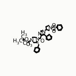 CC(C)(C)OC(=O)N1CCN(C(=O)c2ncn(C3CCN(S(=O)(=O)c4ccccc4)C3)c2-c2ccccc2)[C@H](Cc2ccccc2)C1